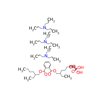 C=CCN(CC=C)CC=C.C=CCN(CC=C)CC=C.C=CCN(CC=C)CC=C.CCCCC(CC)COC(=O)c1ccccc1C(=O)OCC(CC)CCCC.O=P(O)(O)O